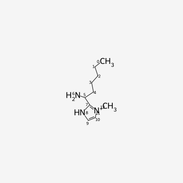 CCCCCC(N)c1[nH]cc[n+]1C